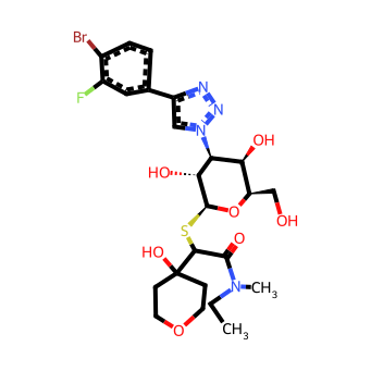 CCN(C)C(=O)C(S[C@@H]1O[C@H](CO)[C@H](O)[C@H](n2cc(-c3ccc(Br)c(F)c3)nn2)[C@H]1O)C1(O)CCOCC1